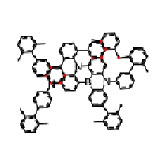 Cc1cccc(C)c1-c1ccc(N(c2ccc(-c3c(C)cccc3C)cc2)c2ccc3c(c2)N(c2c(-c4ccccc4)cccc2-c2ccccc2)c2cc(-c4c(C)cccc4C)cc4c2B3c2ccc(-c3c(C)cccc3C)cc2N4c2cccc(-c3c(C)cccc3C)c2)cc1